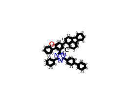 CC1CC=C2c3ccccc3-c3ccc(-c4cc(-c5nc(-c6ccccc6)nc(-c6ccc(-c7ccccc7)cc6)n5)c5c(c4)oc4ccccc45)c1c32